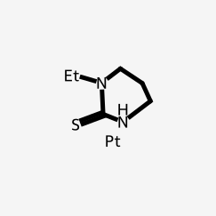 CCN1CCCNC1=S.[Pt]